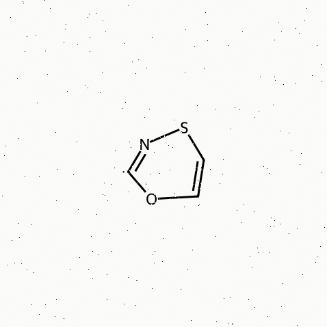 [C]1=NSC=CO1